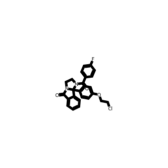 O=C(c1ccc(F)cc1)N1CCN2C(=O)c3ccccc3C12c1ccc(OCCCl)cc1